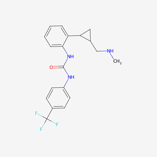 CNCC1CC1c1ccccc1NC(=O)Nc1ccc(C(F)(F)F)cc1